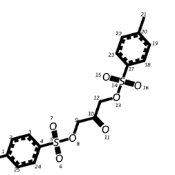 Cc1ccc(S(=O)(=O)OCC(=O)COS(=O)(=O)c2ccc(C)cc2)cc1